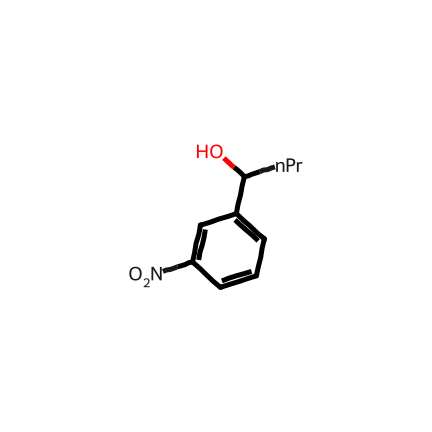 CCCC(O)c1cccc([N+](=O)[O-])c1